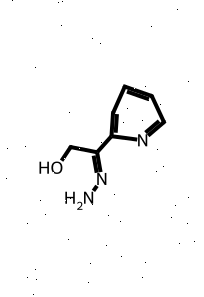 NN=C(CO)c1ccccn1